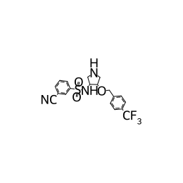 N#Cc1cccc(S(=O)(=O)NC2CNCC2OCc2ccc(C(F)(F)F)cc2)c1